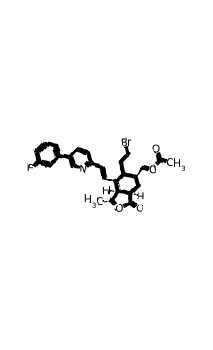 CC(=O)OC[C@H]1C[C@H]2C(=O)O[C@H](C)[C@H]2[C@@H](/C=C/c2ccc(-c3cccc(F)c3)cn2)C1CCBr